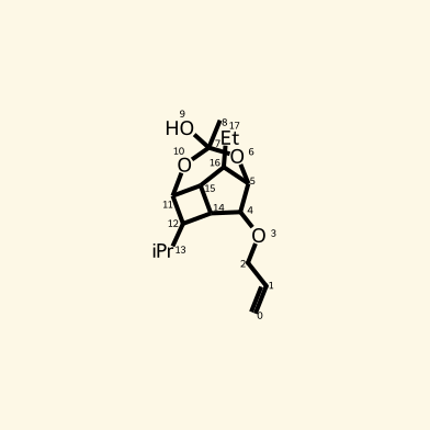 C=CCOC1C2OC(C)(O)OC3C(C(C)C)C1C3C2CC